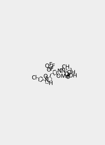 COc1cc(/C=C2\CC[C@H]3CC[C@@H](c4ccc(Cl)cc4)N3C2=O)ccc1-n1cc(C)[n+](COP(=O)(O)O)c1.O=C([O-])C(F)(F)F